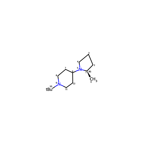 C[C@@H]1CCCN1C1CCN(C(C)(C)C)CC1